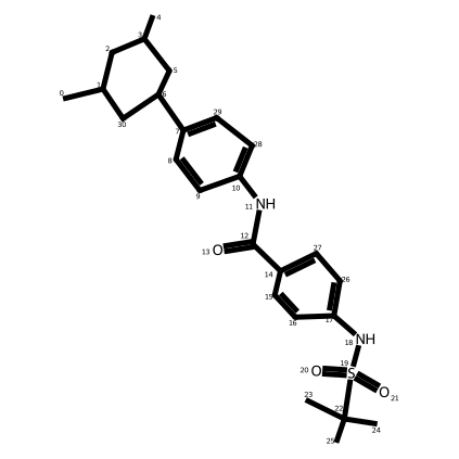 CC1CC(C)CC(c2ccc(NC(=O)c3ccc(NS(=O)(=O)C(C)(C)C)cc3)cc2)C1